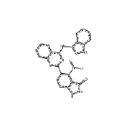 O=c1[nH][nH]c2ccc(-c3nc(Nc4n[nH]c5ccccc45)c4ccccc4n3)c([N+](=O)[O-])c12